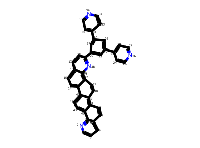 c1cnc2c(c1)ccc1c3ccc4c(ccc5ccc(-c6cc(-c7ccncc7)cc(-c7ccncc7)c6)nc54)c3ccc12